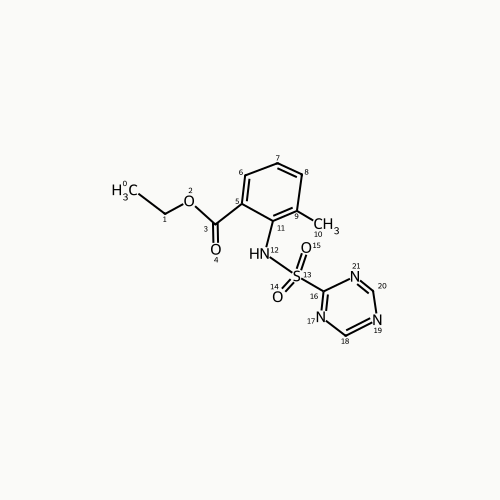 CCOC(=O)c1cccc(C)c1NS(=O)(=O)c1ncncn1